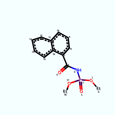 CCOP(=O)(NC(=O)c1cccc2ccccc12)OCC